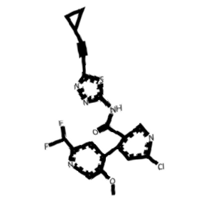 COc1cnc(C(F)F)cc1-c1cc(Cl)ncc1C(=O)Nc1nnc(C#CC2CC2)s1